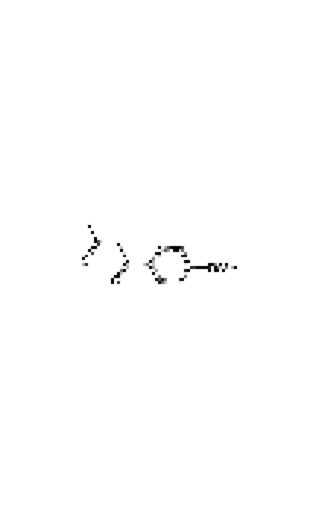 COc1ccc(C(=O)CC(C)=S)cc1